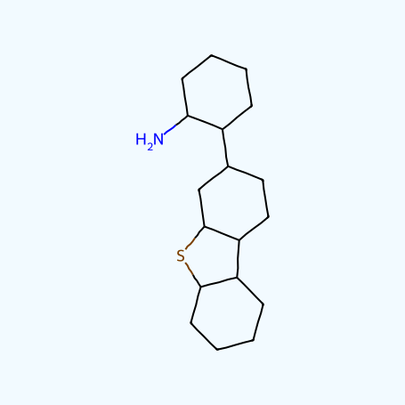 NC1CCCCC1C1CCC2C(C1)SC1CCCCC12